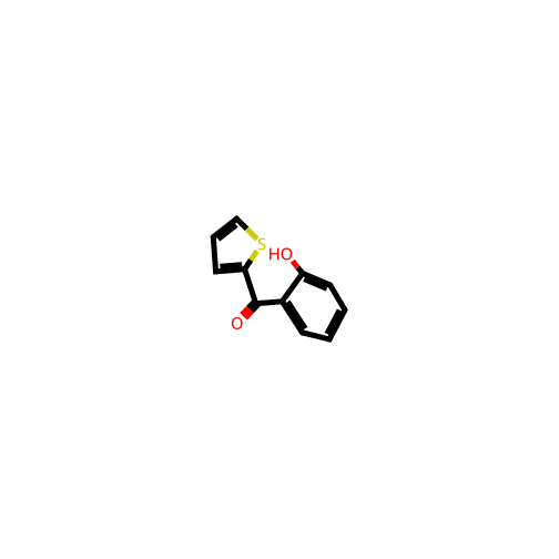 O=C(c1cccs1)c1ccccc1O